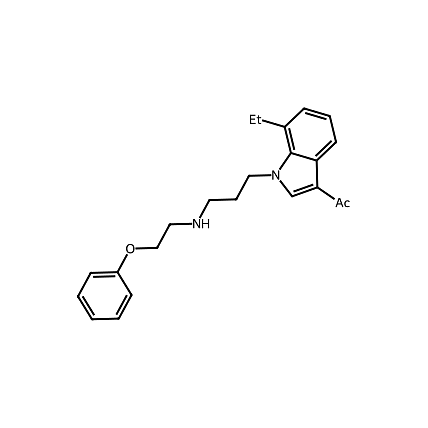 CCc1cccc2c(C(C)=O)cn(CCCNCCOc3ccccc3)c12